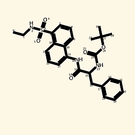 CCNS(=O)(=O)c1cccc2c(NC(=O)C(Cc3ccccc3)NC(=O)OC(C)(C)C)cccc12